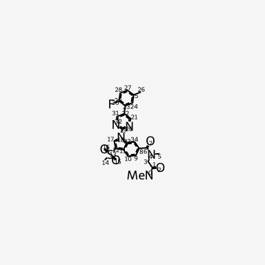 CNC(=O)CN(C)C(=O)c1ccc2c(S(C)(=O)=O)cn(-c3ncc(-c4cc(C)ccc4F)cn3)c2c1